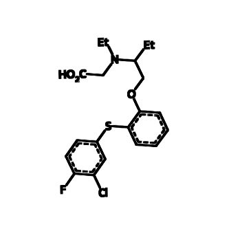 CCC(COc1ccccc1Sc1ccc(F)c(Cl)c1)N(CC)CC(=O)O